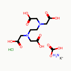 Cl.N.O=C(O)CN(CCN(CC(=O)O)CC(=O)O)CC(=O)O.O=C([O-])O.[K+]